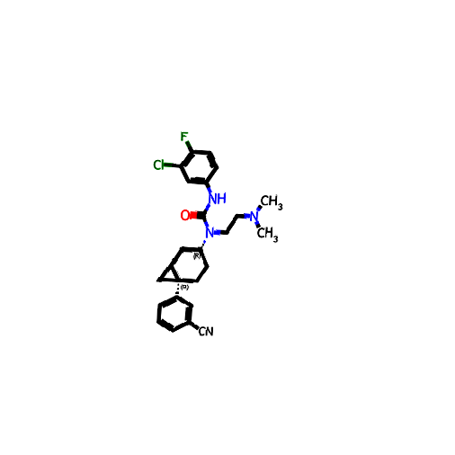 CN(C)CCN(C(=O)Nc1ccc(F)c(Cl)c1)[C@@H]1CC[C@@]2(c3cccc(C#N)c3)CC2C1